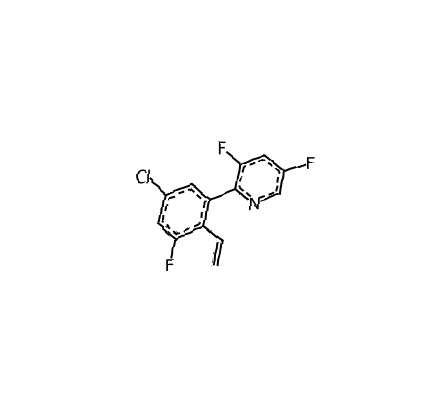 C=Cc1c(F)cc(Cl)cc1-c1ncc(F)cc1F